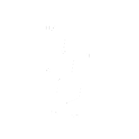 CCOC(C)C1CCC(C)(C)CC1=O